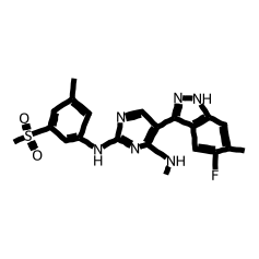 CNc1nc(Nc2cc(C)cc(S(C)(=O)=O)c2)ncc1-c1n[nH]c2cc(C)c(F)cc12